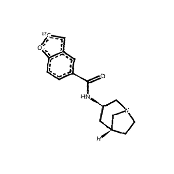 O=C(N[C@@H]1C[C@H]2CCN(C2)C1)c1ccc2o[13cH]cc2c1